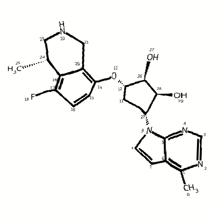 Cc1ncnc2c1ccn2[C@@H]1C[C@H](Oc2ccc(F)c3c2CNC[C@H]3C)[C@@H](O)[C@H]1O